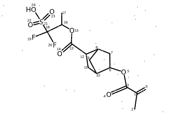 C=C(C)C(=O)OC1CC2CC1CC2C(=O)OC(C)C(F)(F)S(=O)(=O)O